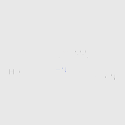 Cc1cccc(C(=O)Nc2ccc(C#N)cc2C(=O)O)c1